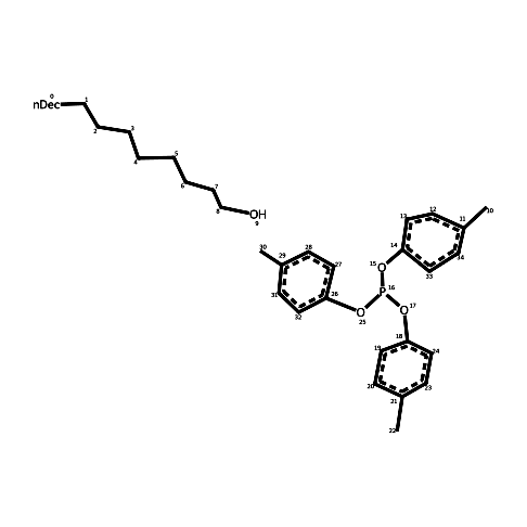 CCCCCCCCCCCCCCCCCCO.Cc1ccc(OP(Oc2ccc(C)cc2)Oc2ccc(C)cc2)cc1